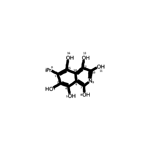 CC(C)c1c(O)c(O)c2c(O)nc(O)c(O)c2c1O